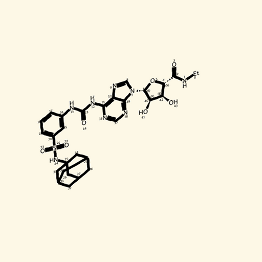 CCNC(=O)[C@H]1O[C@@H](n2cnc3c(NC(=O)Nc4cccc(S(=O)(=O)NC56CC7CC(CC(C7)C5)C6)c4)ncnc32)[C@H](O)[C@@H]1O